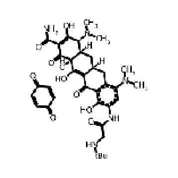 CN(C)c1cc(NC(=O)CNC(C)(C)C)c(O)c2c1C[C@H]1C[C@H]3[C@H](N(C)C)C(O)=C(C(N)=O)C(=O)[C@@]3(O)C(O)=C1C2=O.O=C1C=CC(=O)C=C1